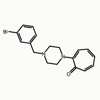 O=c1cccccc1N1CCN(Cc2cccc(Br)c2)CC1